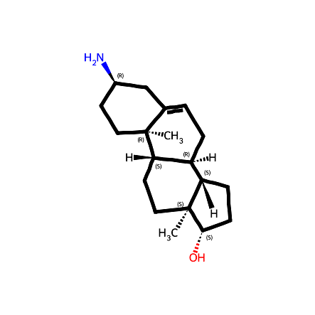 C[C@]12CC[C@H]3[C@@H](CC=C4C[C@H](N)CC[C@@]43C)[C@@H]1CC[C@@H]2O